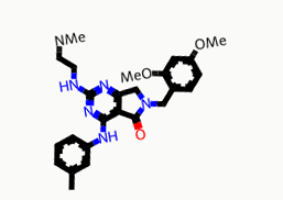 CNCCNc1nc2c(c(Nc3cccc(C)c3)n1)C(=O)N(Cc1ccc(OC)cc1OC)C2